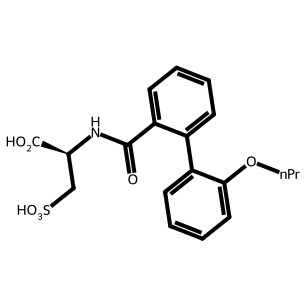 CCCOc1ccccc1-c1ccccc1C(=O)N[C@@H](CS(=O)(=O)O)C(=O)O